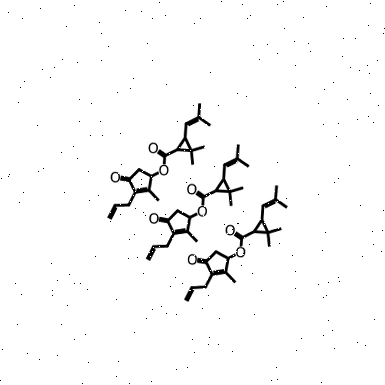 C=CCC1=C(C)C(OC(=O)C2C(C=C(C)C)C2(C)C)CC1=O.C=CCC1=C(C)C(OC(=O)C2C(C=C(C)C)C2(C)C)CC1=O.C=CCC1=C(C)C(OC(=O)C2C(C=C(C)C)C2(C)C)CC1=O